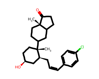 C[C@]12CCC([C@@]3(C)CC[C@H](O)C[C@@H]3C/C=C\c3ccc(Cl)cc3)CC1CCC2=O